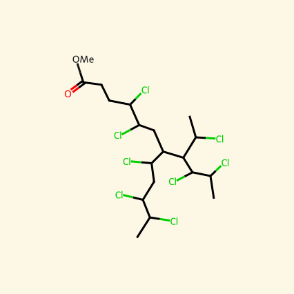 COC(=O)CCC(Cl)C(Cl)CC(C(Cl)CC(Cl)C(C)Cl)C(C(C)Cl)C(Cl)C(C)Cl